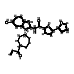 C=CC(=O)N1CCC[C@@H](n2c(NC(=O)c3ccc(-c4cnco4)s3)nc3ccc(Cl)cc32)CC1